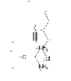 C#N.CCCCCCl.NC(N)=O